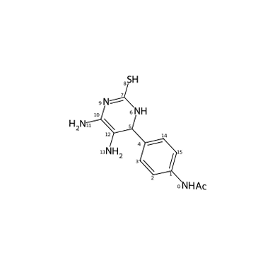 CC(=O)Nc1ccc(C2NC(S)=NC(N)=C2N)cc1